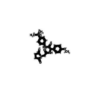 COc1ccc(C(NC(=O)CN2C(=O)CCC2=O)C(=O)Nc2ccc([SiH](C)C)cc2)cc1